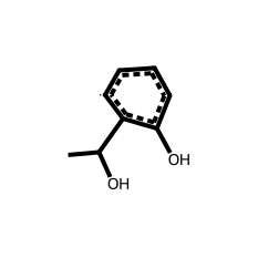 CC(O)c1[c]cccc1O